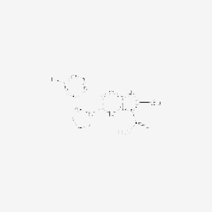 CC(C)(C)c1nc2ccc(N3CCC[C@@H]3c3cccc(F)c3)nn2c1C(N)=O